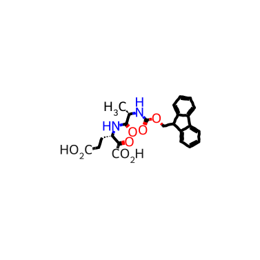 C[C@H](NC(=O)OCC1c2ccccc2-c2ccccc21)C(=O)N[C@@H](CCC(=O)O)C(=O)C(=O)O